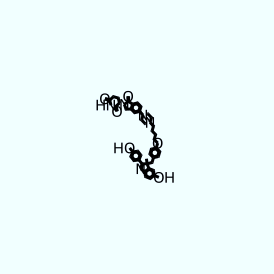 CC1(Cc2ccc(OCCCCN3CCN(c4ccc5c(c4)CN(C4CCC(=O)NC4=O)C5=O)CC3)cc2)C(c2ccc(O)cc2)=Nc2ccc(O)cc21